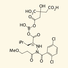 COCCC(=O)N(N[C@@H](CC(C)C)C(=O)OB(O)OC(=O)CC(O)(CC(=O)O)C(=O)O)C(=O)c1cc(Cl)ccc1Cl